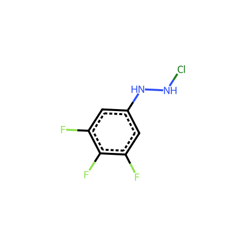 Fc1cc(NNCl)cc(F)c1F